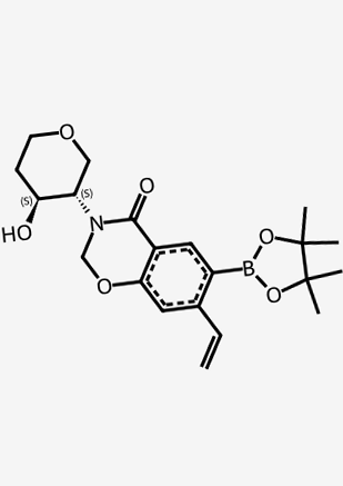 C=Cc1cc2c(cc1B1OC(C)(C)C(C)(C)O1)C(=O)N([C@H]1COCC[C@@H]1O)CO2